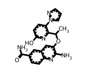 CC(Oc1cc2cc(C(N)=O)ccc2nc1N)c1nc(O)ccc1-n1cccn1